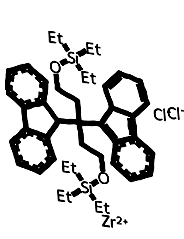 CC[Si](CC)(CC)OCCC(CCO[Si](CC)(CC)CC)(C1=c2ccccc2=C2C=CC=CC21)C1c2ccccc2-c2ccccc21.[Cl-].[Cl-].[Zr+2]